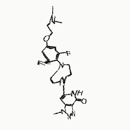 CN(C)CCOc1cc(F)c(N2CCN(c3cc4c(nnn4C)c(=O)[nH]3)CC2)c(F)c1